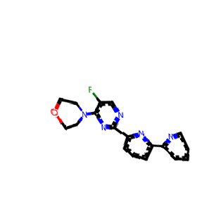 Fc1cnc(-c2cccc(-c3ccccn3)n2)nc1N1CCOCC1